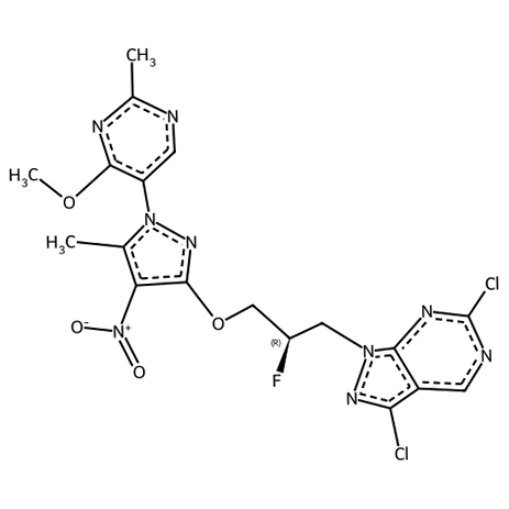 COc1nc(C)ncc1-n1nc(OC[C@H](F)Cn2nc(Cl)c3cnc(Cl)nc32)c([N+](=O)[O-])c1C